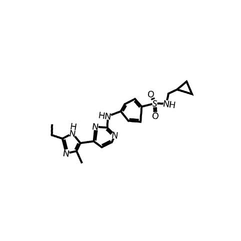 CCc1nc(C)c(-c2ccnc(Nc3ccc(S(=O)(=O)NCC4CC4)cc3)n2)[nH]1